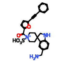 NCc1ccc2c(c1)C1(CC[N+](C(=O)c3ccc(C#Cc4ccccc4)o3)(S(=O)(=O)O)CC1)CN2